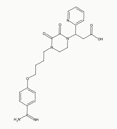 N=C(N)c1ccc(OCCCCN2CCN(C(CC(=O)O)c3ccccn3)C(=O)C2=O)cc1